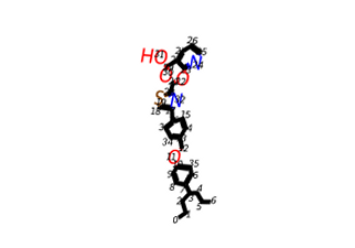 CCCC(CCC)c1ccc(OCc2ccc(-c3csc(COc4ncccc4C(=O)O)n3)cc2)cc1